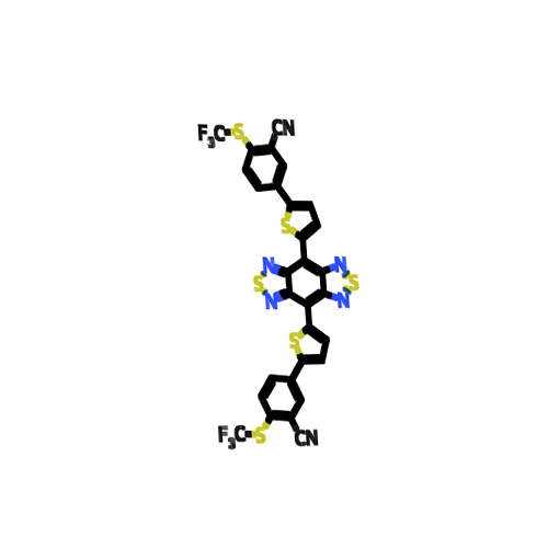 N#Cc1cc(-c2ccc(-c3c4c(c(-c5ccc(-c6ccc(SC(F)(F)F)c(C#N)c6)s5)c5nsnc35)N=S=N4)s2)ccc1SC(F)(F)F